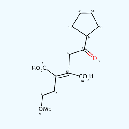 COCC/C(C(=O)O)=C(/CC(=O)C1CCCC1)C(=O)O